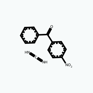 N=C=N.O=C(c1ccccc1)c1ccc([N+](=O)[O-])cc1